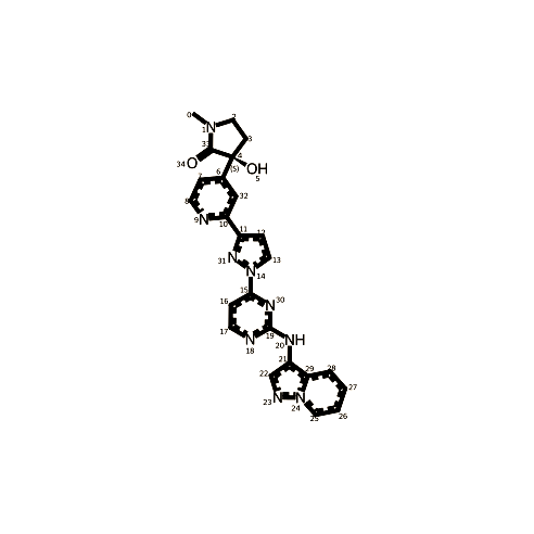 CN1CC[C@](O)(c2ccnc(-c3ccn(-c4ccnc(Nc5cnn6ccccc56)n4)n3)c2)C1=O